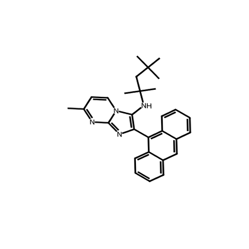 Cc1ccn2c(NC(C)(C)CC(C)(C)C)c(-c3c4ccccc4cc4ccccc34)nc2n1